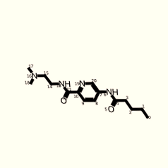 CCCCC(=O)Nc1ccc(C(=O)NCCN(C)C)nc1